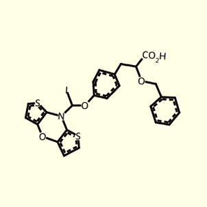 O=C(O)C(Cc1ccc(OC(I)N2c3sccc3Oc3ccsc32)cc1)OCc1ccccc1